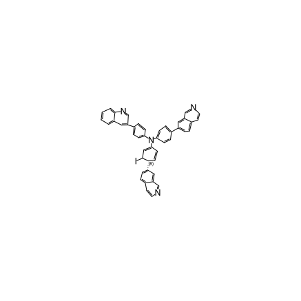 IC1C=C(N(c2ccc(-c3ccc4ccncc4c3)cc2)c2ccc(-c3cnc4ccccc4c3)cc2)C=C[C@@H]1c1ccc2ccncc2c1